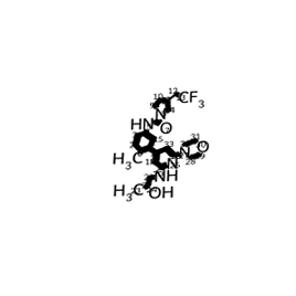 Cc1ccc(NC(=O)N2CC[C@@H](CC(F)(F)F)C2)cc1-c1cc(NCC(C)O)nc(N2CCOCC2)c1